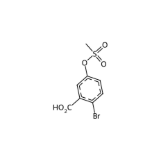 CS(=O)(=O)Oc1ccc(Br)c(C(=O)O)c1